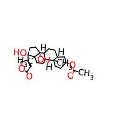 CC(=O)O[C@H]1CC[C@@]2(C)[C@H](CC[C@@H]3[C@@H]2CC[C@]2(C)[C@@](O)(C4=CC(=O)OC4)CC[C@]32O)C1